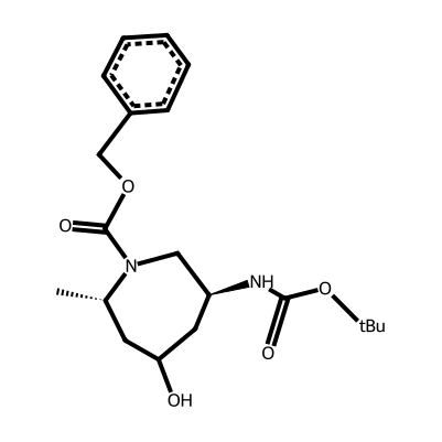 C[C@H]1CC(O)C[C@H](NC(=O)OC(C)(C)C)CN1C(=O)OCc1ccccc1